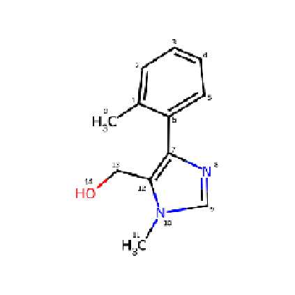 Cc1ccccc1-c1ncn(C)c1CO